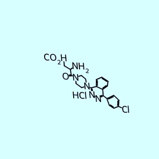 Cl.NC(CC(=O)O)C(=O)N1CCN(c2nnc(-c3ccc(Cl)cc3)c3ccccc23)CC1